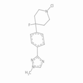 Cn1cnc(-c2ccc(C3(F)CCN(Cl)CC3)cc2)n1